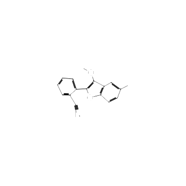 COc1c(-c2ccccc2C#N)oc2ccc(C)cc12